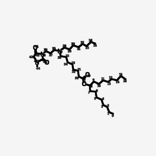 CCCCCCCCC(CCCCCCCC)OC(=O)CCCCCCCN(CCCCCCCC)CCCN1C(=O)CN(C)C1=O